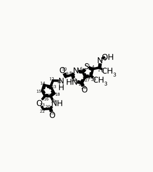 CC(=NO)c1sc2nc(C(=O)NCc3ccc4c(c3)NC(=O)CO4)[nH]c(=O)c2c1C